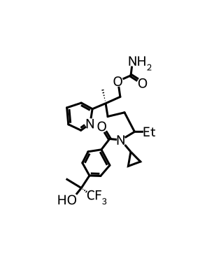 CCC(CC[C@](C)(COC(N)=O)c1ccccn1)N(C(=O)c1ccc([C@](C)(O)C(F)(F)F)cc1)C1CC1